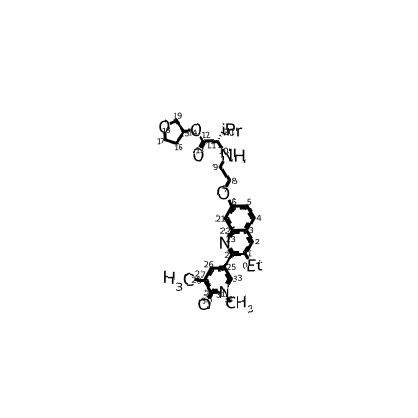 CCc1cc2ccc(OCCN[C@H](C(=O)OC3CCOC3)C(C)C)cc2nc1-c1cc(C)c(=O)n(C)c1